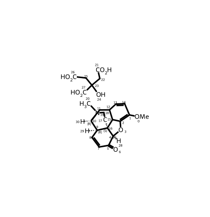 COC1=C2O[C@H]3C(=O)C=C[C@H]4[C@H]5CC(C=C1)C2[C@@]34CCN5C.O=C(O)CC(O)(CC(=O)O)C(=O)O